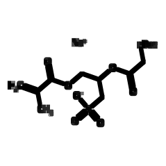 C=C(C)C(=O)OCC(CS(=O)(=O)[O-])OC(=O)CCCCCCCCCCC.[Na+]